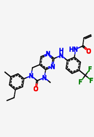 C=CC(=O)Nc1cc(C(F)(F)F)ccc1Nc1ncc2c(n1)N(C)C(=O)N(c1cc(C)cc(CC)c1)C2